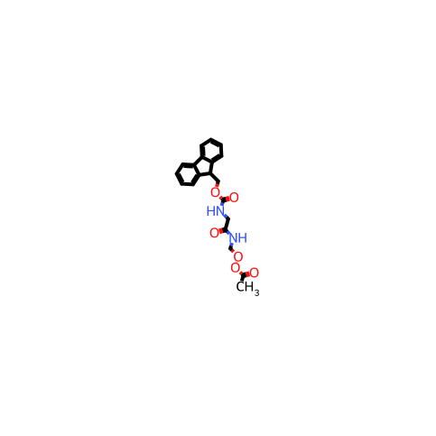 CC(=O)OOCNC(=O)CNC(=O)OCC1c2ccccc2-c2ccccc21